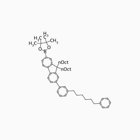 CCCCCCCCC1(CCCCCCCC)c2cc(B3OC(C)(C)C(C)(C)O3)ccc2-c2ccc(-c3cccc(CCCCCCc4ccccc4)c3)cc21